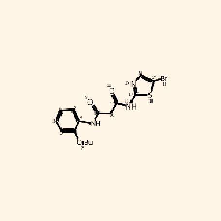 CC(C)COc1ccccc1NC(=O)CC(=O)Nc1ncc(Br)s1